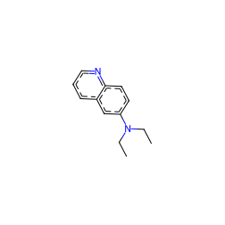 CCN(CC)c1ccc2ncccc2c1